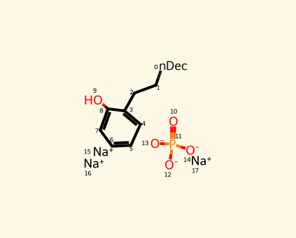 CCCCCCCCCCCCc1ccccc1O.O=P([O-])([O-])[O-].[Na+].[Na+].[Na+]